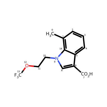 Cc1cccc2c(C(=O)O)cn(CCOC(F)(F)F)c12